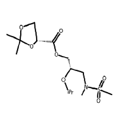 CC(C)O[C@H](COC(=O)[C@H]1COC(C)(C)O1)CN(C)S(C)(=O)=O